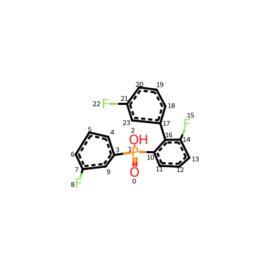 O=P(O)(c1cccc(F)c1)c1cccc(F)c1-c1cccc(F)c1